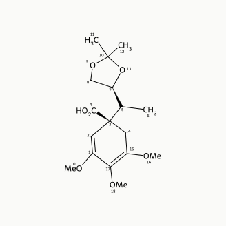 COC1=C[C@](C(=O)O)(C(C)[C@H]2COC(C)(C)O2)CC(OC)=C1OC